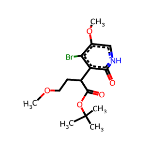 COCCC(C(=O)OC(C)(C)C)c1c(Br)c(OC)c[nH]c1=O